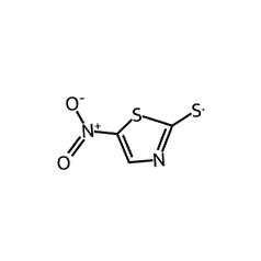 O=[N+]([O-])c1cnc([S])s1